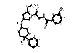 COC[C@@H]1C[C@H](NC2CCC(O)(c3ccccn3)CC2)CN1C(=O)CNC(=O)c1cccc(C(F)(F)F)c1